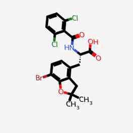 CC1(C)Cc2c(C[C@H](NC(=O)c3c(Cl)cccc3Cl)C(=O)O)ccc(Br)c2O1